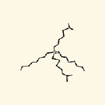 CCCCCCC[CH2][Sn]([CH2]CCCCCCC)([CH2]CCCCC(C)C)[CH2]CCCCC(C)C